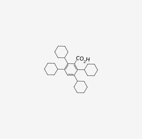 O=C(O)c1c(C2CCCCC2)c(C2CCCCC2)cc(C2CCCCC2)c1C1CCCCC1